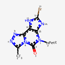 CCCCCn1c(=O)n2c(C(F)(F)F)nnc2c2[nH]c(Br)nc21